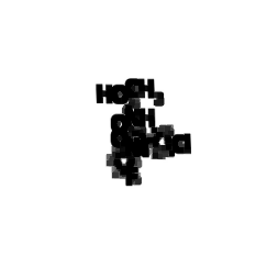 C[C@H](O)CCNC(=O)c1cc(-c2ccc(Cl)cc2)nn(-c2cccc(F)c2)c1=O